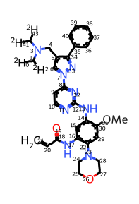 [2H]C([2H])N(Cc1cn(-c2ccnc(Nc3cc(NC(=O)C=C)c(N4CCOCC4)cc3OC)n2)nc1-c1ccccc1)C([2H])[2H]